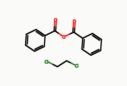 ClCCCl.O=C(OC(=O)c1ccccc1)c1ccccc1